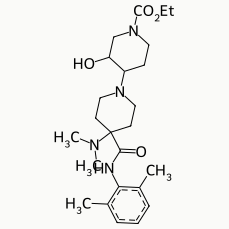 CCOC(=O)N1CCC(N2CCC(C(=O)Nc3c(C)cccc3C)(N(C)C)CC2)C(O)C1